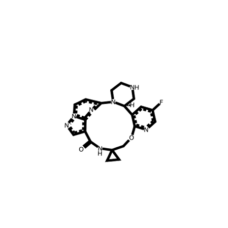 O=C1NC2(CC2)COc2ncc(F)cc2[C@@H]2CNCCN2c2ccn3ncc1c3n2